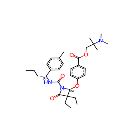 CCC[C@@H](NC(=O)N1C(=O)C(CC)(CC)[C@@H]1Oc1ccc(C(=O)OCC(C)(C)N(C)C)cc1)c1ccc(C)cc1